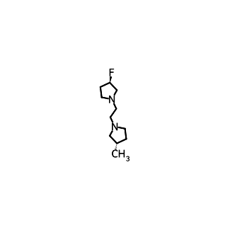 C[C@H]1CCN(CCN2CC[C@@H](F)C2)C1